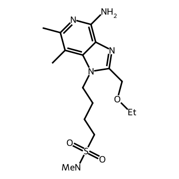 CCOCc1nc2c(N)nc(C)c(C)c2n1CCCCS(=O)(=O)NC